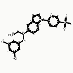 CS(=O)(=O)c1ccc(-n2ccc3cc(N(CC(=O)O)Sc4cc(Cl)cc(Cl)c4)ccc32)nc1